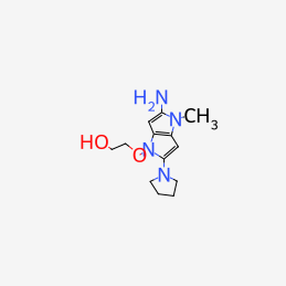 Cn1c(N)cc2c1cc(N1CCCC1)n2OCCO